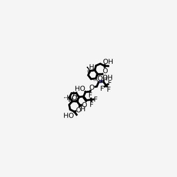 C[C@@H]1CC[C@@H](/C(COCC(O)C2=C(C(F)(F)F)O[C@@H]3OC(C)(O)CC[C@H]4[C@H](C)CC[C@@H]2[C@@]34O)=C(\O)C(F)(F)F)[C@@]2(O)COC(C)(O)CC[C@@H]12